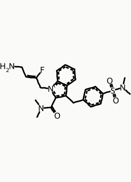 CN(C)C(=O)c1c(Cc2ccc(S(=O)(=O)N(C)C)cc2)c2ccccc2n1CC(F)=CCN